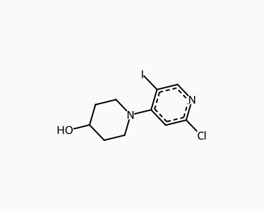 OC1CCN(c2cc(Cl)ncc2I)CC1